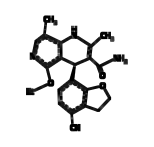 CCOc1ncc(C)c2c1[C@H](c1ccc(C#N)c3c1OCC3)C(C(N)=O)=C(C)N2